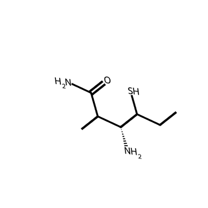 CCC(S)[C@H](N)C(C)C(N)=O